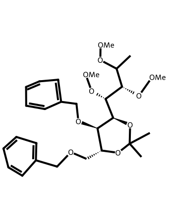 COOC(C)[C@H](OOC)[C@@H](OOC)[C@H]1OC(C)(C)O[C@H](COCc2ccccc2)[C@H]1OCc1ccccc1